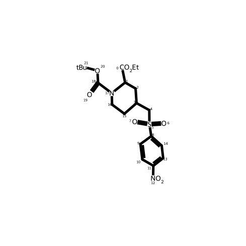 CCOC(=O)C1CC(CS(=O)(=O)c2ccc([N+](=O)[O-])cc2)CCN1C(=O)OC(C)(C)C